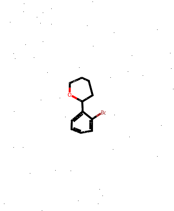 Brc1ccccc1C1CCCCO1